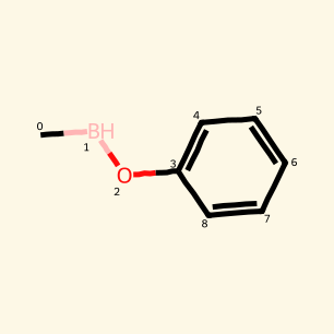 CBOc1ccccc1